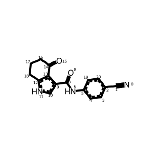 N#Cc1ccc(NC(=O)c2c[nH]c3c2C(=O)CCC3)cc1